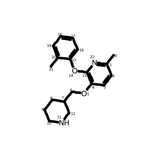 Cc1ccc(OCC2CCCNC2)c(Oc2ccccc2C)n1